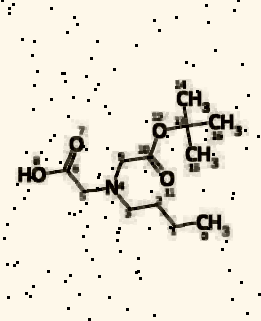 CCCCN(CC(=O)O)CC(=O)OC(C)(C)C